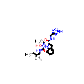 CC[C@H](C)CNC(=O)[N+](O)(CC)N1c2ccccc2C[C@H]1C(=O)NCc1nn[nH]n1